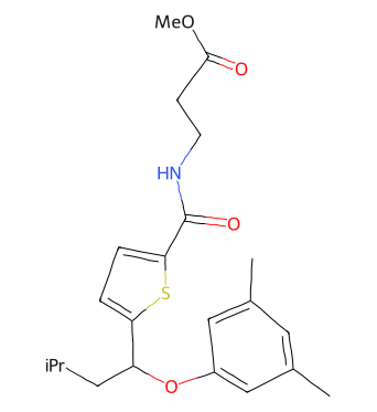 COC(=O)CCNC(=O)c1ccc(C(CC(C)C)Oc2cc(C)cc(C)c2)s1